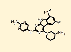 CNc1cc(F)cc2c1[nH]c1nc(Oc3cnc(N)nc3)nc(N3CCC[C@H](N)C3)c12